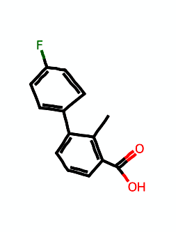 Cc1c(C(=O)O)cccc1-c1ccc(F)cc1